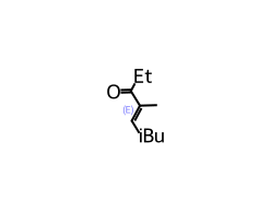 CCC(=O)/C(C)=C/C(C)CC